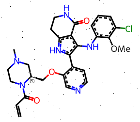 C=CC(=O)N1CCN(C)C[C@H]1COc1cnccc1-c1[nH]c2c(c1Nc1cccc(Cl)c1OC)C(=O)NCC2